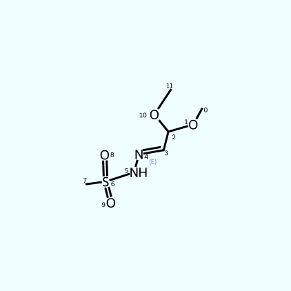 COC(/C=N/NS(C)(=O)=O)OC